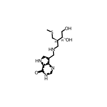 CSC[C@H](CNCc1c[nH]c2c(=O)[nH]cnc12)[C@@H](O)CO